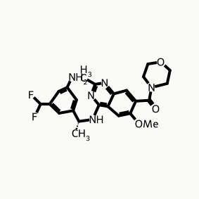 COc1cc2c(N[C@H](C)c3cc(N)cc(C(F)F)c3)nc(C)nc2cc1C(=O)N1CCOCC1